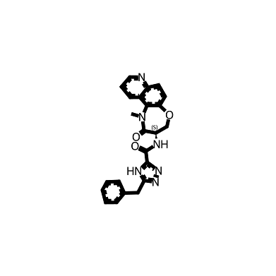 CN1C(=O)[C@@H](NC(=O)c2nnc(Cc3ccccc3)[nH]2)COc2ccc3ncccc3c21